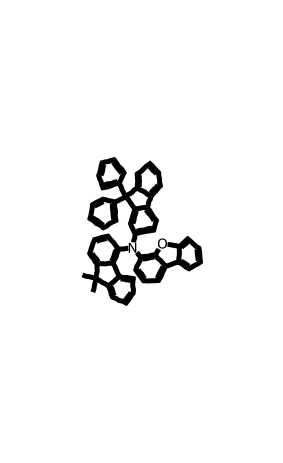 CC1(C)c2ccccc2-c2c(N(c3ccc4c(c3)C(c3ccccc3)(c3ccccc3)c3ccccc3-4)c3cccc4c3oc3ccccc34)cccc21